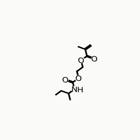 C=C(C)C(=O)OCCOC(=O)NC(C)CC